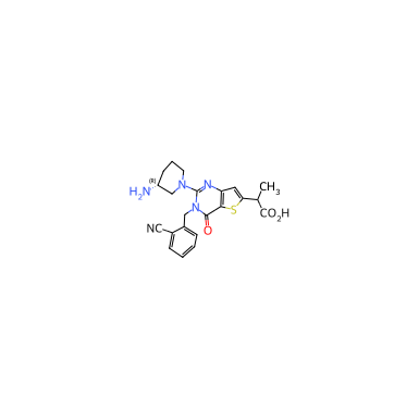 CC(C(=O)O)c1cc2nc(N3CCC[C@@H](N)C3)n(Cc3ccccc3C#N)c(=O)c2s1